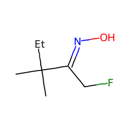 CCC(C)(C)C(CF)=NO